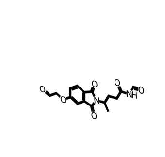 CC(CCC(=O)NC=O)N1C(=O)c2ccc(OCC=O)cc2C1=O